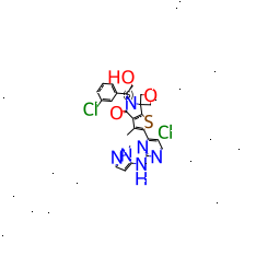 Cc1c(-c2nc(Nc3ccnn3C)ncc2Cl)sc2c1C(=O)N([C@H](CO)c1cccc(Cl)c1)C21COC1